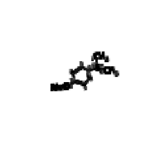 COc1ccc([S+](C)C)cc1